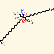 CCCCCCCCCCCCCCCCOC(C(N)=O)(C(O)CC)C(CCCCCCCCCCCCC)C(C)O